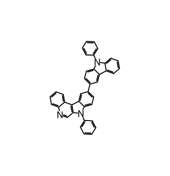 c1ccc(-n2c3ccccc3c3cc(-c4ccc5c(c4)c4c6ccccc6ncc4n5-c4ccccc4)ccc32)cc1